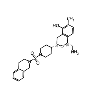 Cc1ccc2c(c1O)C[C@@H](C1CCN(S(=O)(=O)N3CCc4ccccc4C3)CC1)O[C@H]2CN